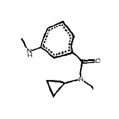 CNc1cccc(C(=O)N(C)C2CC2)c1